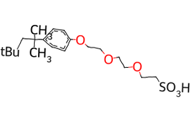 CC(C)(C)CC(C)(C)c1ccc(OCCOCCOCCS(=O)(=O)O)cc1